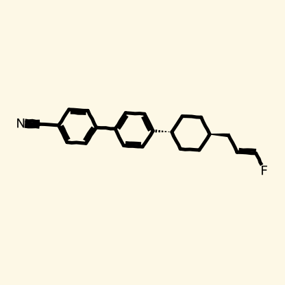 N#Cc1ccc(-c2ccc([C@H]3CC[C@H](CC=CF)CC3)cc2)cc1